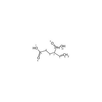 C=CC(CCC(=O)O)[PH](=O)O